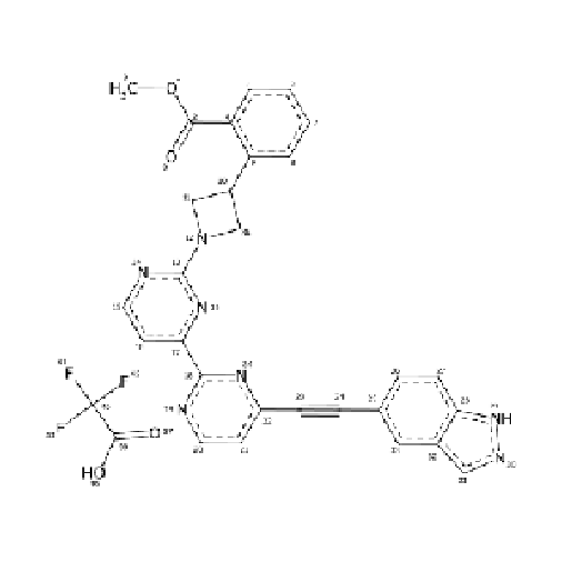 COC(=O)c1ccccc1C1CN(c2nccc(-c3nccc(C#Cc4ccc5[nH]ncc5c4)n3)n2)C1.O=C(O)C(F)(F)F